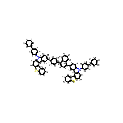 c1ccc(-c2ccc(-n3c4ccc(-c5ccc(-c6ccc(-c7ccc8c(c7)c7c9c(ccc7n8-c7ccc(-c8ccccc8)cc7)sc7ccccc79)c7ccccc67)cc5)cc4c4c5c(ccc43)sc3ccccc35)cc2)cc1